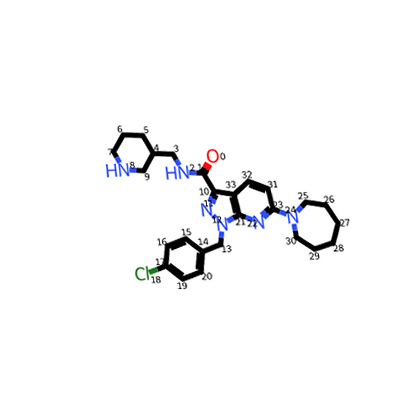 O=C(NCC1CCCNC1)c1nn(Cc2ccc(Cl)cc2)c2nc(N3CCCCCC3)ccc12